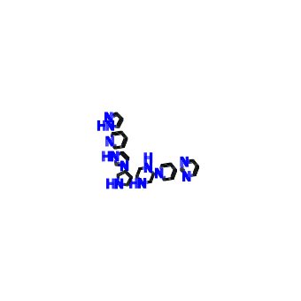 C1CCNC1.C1CNCCN1.c1c[nH]cn1.c1ccncc1.c1ccncc1.c1cn[nH]c1.c1cncnc1